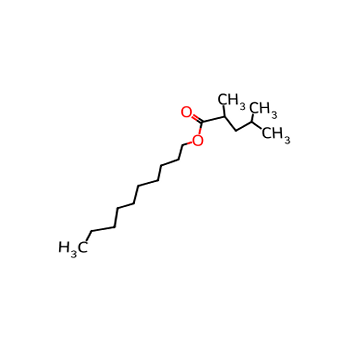 CCCCCCCCCCOC(=O)C(C)CC(C)C